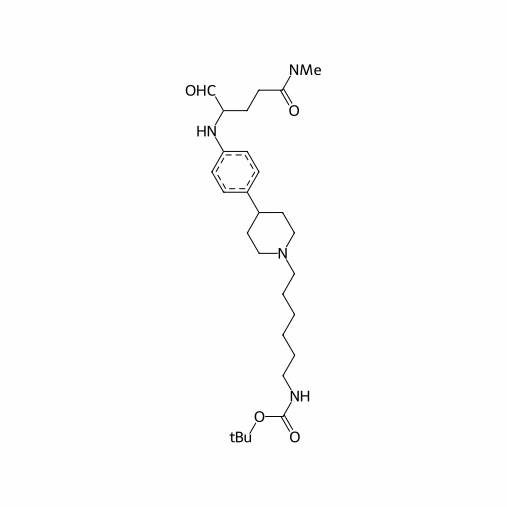 CNC(=O)CCC(C=O)Nc1ccc(C2CCN(CCCCCCNC(=O)OC(C)(C)C)CC2)cc1